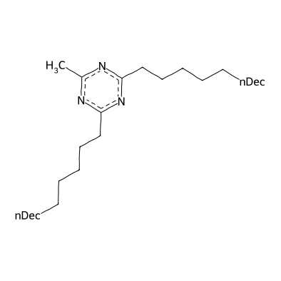 CCCCCCCCCCCCCCCc1nc(C)nc(CCCCCCCCCCCCCCC)n1